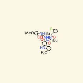 CCC(C)[C@H](NC(=O)Cc1ccccc1F)C(=O)N[C@]1(C(=O)N[C@H](C(=O)Nc2ccc(OC)cc2O)C(C)CC)CCc2[nH]c3c(C(F)(F)F)cccc3c2C1